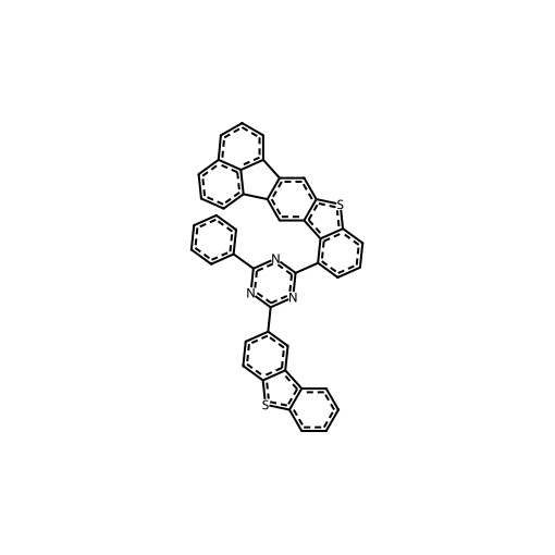 c1ccc(-c2nc(-c3ccc4sc5ccccc5c4c3)nc(-c3cccc4sc5cc6c(cc5c34)-c3cccc4cccc-6c34)n2)cc1